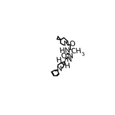 C[C@H](Nc1nnc([C@H]2[C@@H]3CN(c4ccccc4)C[C@@H]32)o1)C(=O)N1CCC2(CC1)CC2